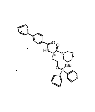 CC(C)(C)[Si](OCC[C@H](NC(=O)c1ccc(-c2ccccc2)cc1)C(=O)N1CCCCC1)(c1ccccc1)c1ccccc1